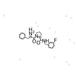 N[C@@H](Cc1ccccc1)C(=O)N1CCC[C@H]1C(=O)NCc1cccc(F)c1